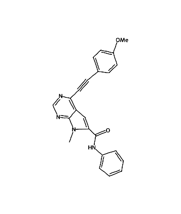 COc1ccc(C#Cc2ncnc3c2cc(C(=O)Nc2ccccc2)n3C)cc1